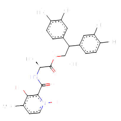 COc1cc[n+](O)c(C(=O)N[C@@H](C)C(=O)O[C@@H](C)C(c2ccc(C)c(C)c2)c2ccc(C)c(C)c2)c1O